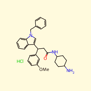 COc1cccc(C(CC(=O)NC2CCC(N)CC2)c2cn(Cc3ccccc3)c3ccccc23)c1.Cl